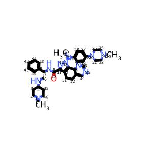 CN1CCC(NC[C@@H](NC(=O)c2nn(N(C)c3ccc(N4CCN(C)CC4)cc3)c3c2CCc2cncnc2-3)c2ccccc2)CC1